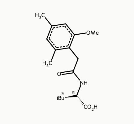 CC[C@H](C)[C@H](NC(=O)Cc1c(C)cc(C)cc1OC)C(=O)O